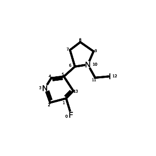 Fc1cncc(C2CCCN2CI)c1